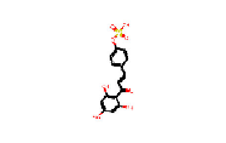 O=C(C=Cc1ccc(OS(=O)(=O)O)cc1)c1c(O)cc(O)cc1O